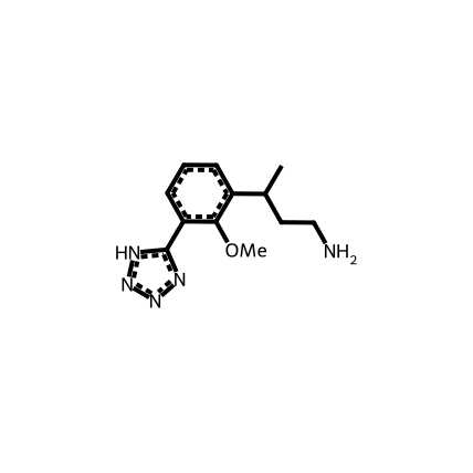 COc1c(-c2nnn[nH]2)cccc1C(C)CCN